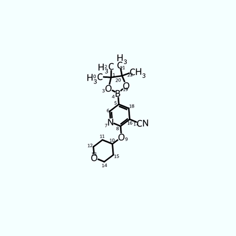 CC1(C)OB(c2cnc(OC3CCOCC3)c(C#N)c2)OC1(C)C